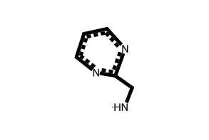 [NH]Cc1ncccn1